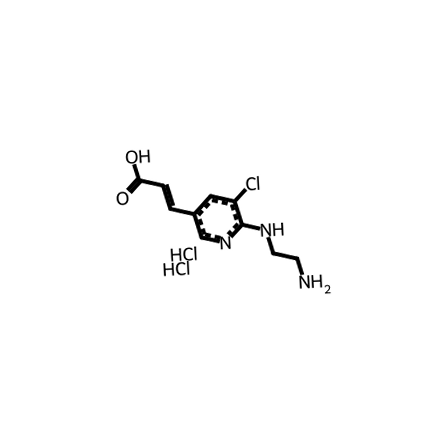 Cl.Cl.NCCNc1ncc(/C=C/C(=O)O)cc1Cl